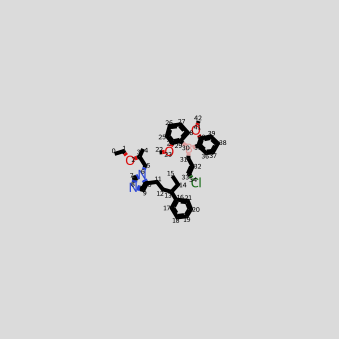 CCOC(C)Cn1cncc1CCC(CC)c1ccccc1.COc1ccccc1B(CC=CCl)c1ccccc1OC